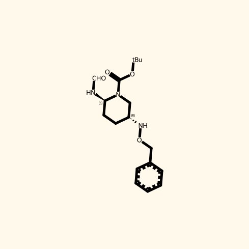 CC(C)(C)OC(=O)N1C[C@H](NOCc2ccccc2)CC[C@H]1NC=O